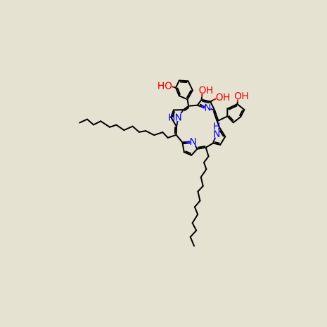 CCCCCCCCCCCCCc1c2nc(c(CCCCCCCCCCCCC)c3ccc([nH]3)c(-c3cccc(O)c3)c3nc(c(-c4cccc(O)c4)c4ccc1[nH]4)C(O)=C3O)C=C2